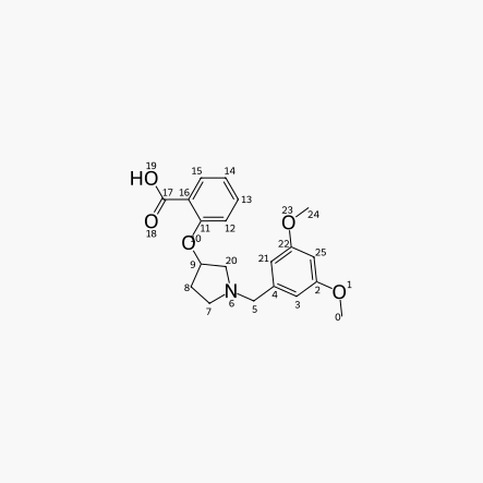 COc1cc(CN2CCC(Oc3ccccc3C(=O)O)C2)cc(OC)c1